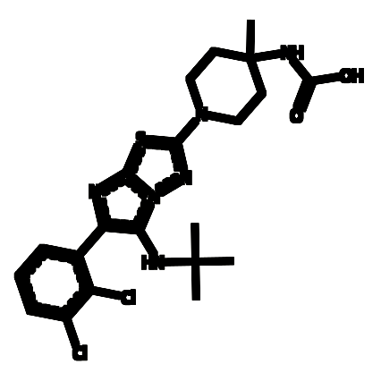 CC(C)(C)Nc1c(-c2cccc(Cl)c2Cl)nc2sc(N3CCC(C)(NC(=O)O)CC3)nn12